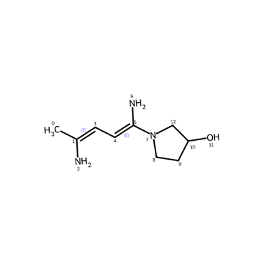 C/C(N)=C/C=C(\N)N1CCC(O)C1